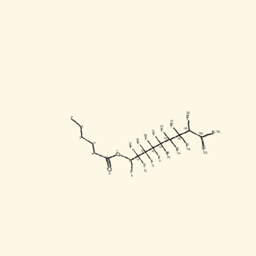 CCCCCC(=O)OC(F)C(F)(F)C(F)(F)C(F)(F)C(F)(F)C(F)(F)C(F)(F)C(F)C(F)F